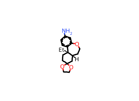 CC[C@]12CCC3(C[C@H]1CCOc1cc(N)ccc12)OCCO3